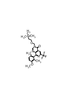 COc1ccc(C)c(-c2nc(C(F)(F)F)cc3c(=O)n(COCC[Si](C)(C)C)cnc23)c1C